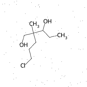 CCC(O)C(C)(CO)CCCCl